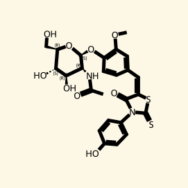 COc1cc(C=C2SC(=S)N(c3ccc(O)cc3)C2=O)ccc1O[C@@H]1O[C@H](CO)[C@@H](O)[C@H](O)[C@H]1NC(C)=O